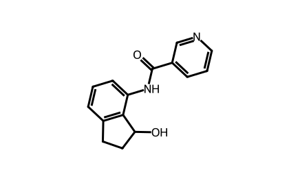 O=C(Nc1cccc2c1C(O)CC2)c1cccnc1